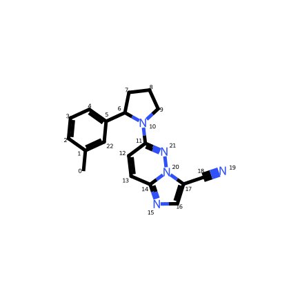 Cc1cccc(C2CCCN2c2ccc3ncc(C#N)n3n2)c1